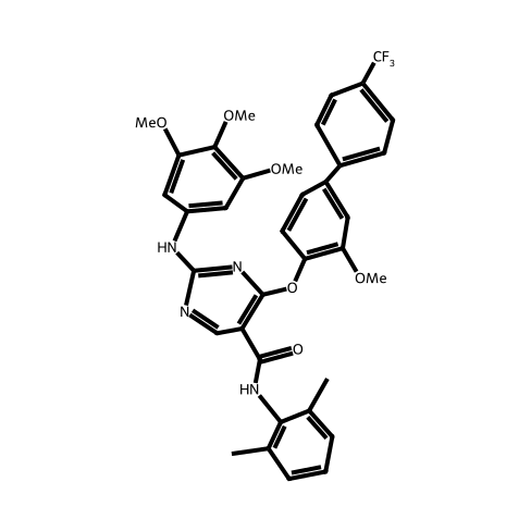 COc1cc(-c2ccc(C(F)(F)F)cc2)ccc1Oc1nc(Nc2cc(OC)c(OC)c(OC)c2)ncc1C(=O)Nc1c(C)cccc1C